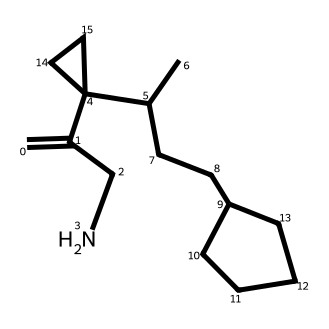 C=C(CN)C1(C(C)CCC2CCCC2)CC1